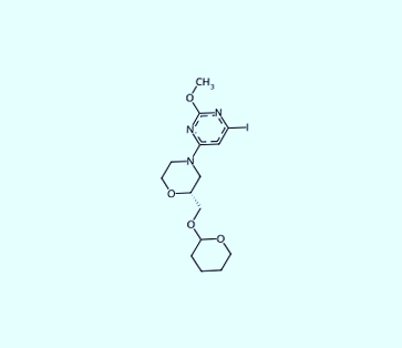 COc1nc(I)cc(N2CCO[C@@H](COC3CCCCO3)C2)n1